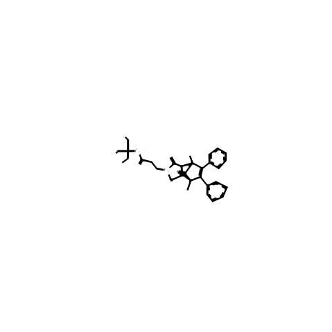 CC12C(=O)C(C)(C(c3ccccc3)=C1c1ccccc1)C1C(=O)N(CCC(=O)NC(CO)(CO)CO)C(=O)C12